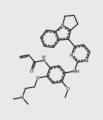 C=CC(=O)Nc1cc(Nc2nccc(-c3c4n(c5ccccc35)CCC4)n2)c(OC)cc1OCCN(C)C